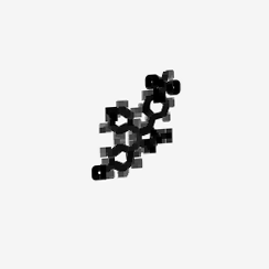 CS(=O)(=O)N1CCC(c2[nH]nc(-c3ccc(Cl)cc3)c2-c2ccncc2)CC1